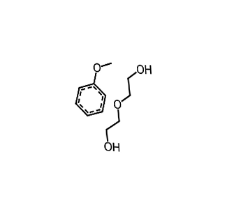 COc1ccccc1.OCCOCCO